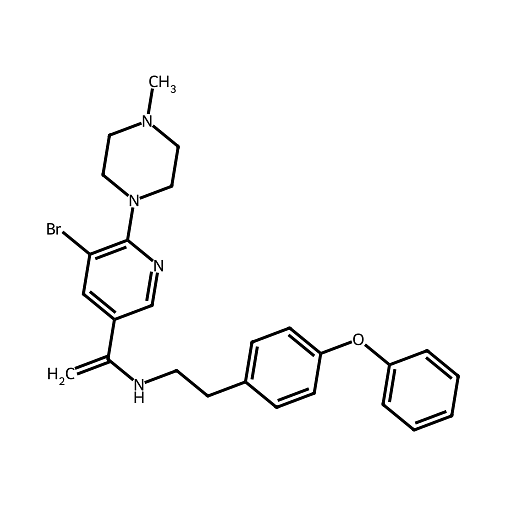 C=C(NCCc1ccc(Oc2ccccc2)cc1)c1cnc(N2CCN(C)CC2)c(Br)c1